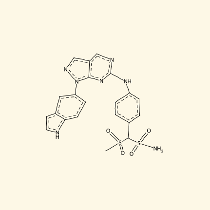 CS(=O)(=O)C(c1ccc(Nc2ncc3cnn(-c4ccc5[nH]ccc5c4)c3n2)cc1)S(N)(=O)=O